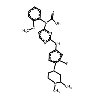 COc1ccccc1N(C(=O)O)c1ccnc(Nc2ccc(N3CCN(C)C(C)C3)c(F)c2)n1